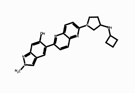 Cn1cc2cc(-c3ccc4nc(N5CCC(NC6CCC6)C5)ccc4n3)c(O)cc2n1